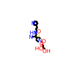 N#Cc1c(NC(=O)/C=C/c2cccnc2)sc2c1CCN(C(=O)OCC(O)CO)C2